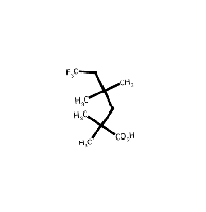 CC(C)(CC(F)(F)F)CC(C)(C)C(=O)O